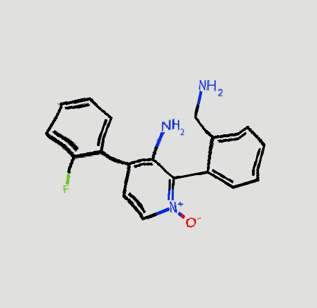 NCc1ccccc1-c1c(N)c(-c2cc[c]cc2F)cc[n+]1[O-]